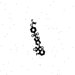 O=C(N1Cc2cn(S(=O)(=O)c3ccc(OC(F)F)cc3)nc2C1)C1(c2ncccc2F)COC1